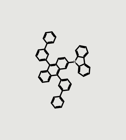 c1ccc(-c2cccc(-c3c4ccccc4c(-c4cccc(-c5ccccc5)c4)c4cc(-n5c6ccccc6c6ccccc65)ccc34)c2)cc1